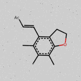 CC(=O)C=Cc1c(C)c(C)c(C)c2c1CCO2